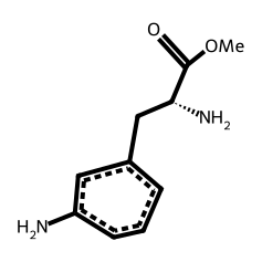 COC(=O)[C@H](N)Cc1cccc(N)c1